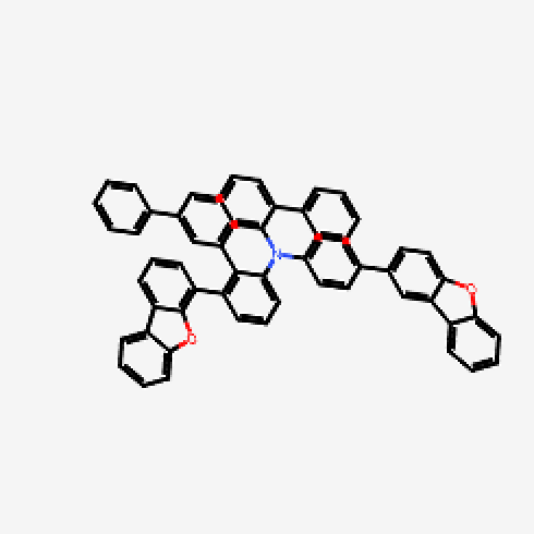 c1ccc(-c2cccc(-c3c(-c4cccc5c4oc4ccccc45)cccc3N(c3ccc(-c4ccc5oc6ccccc6c5c4)cc3)c3ccccc3-c3ccccc3)c2)cc1